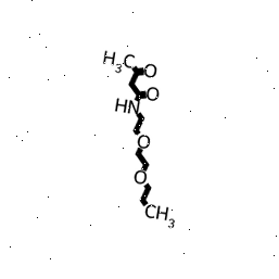 CCCOCCOCCNC(=O)CC(C)=O